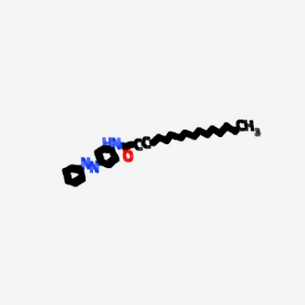 CCCCCCCCCCCCCCCCCC(=O)Nc1ccc(/N=N/c2ccccc2)cc1